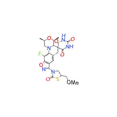 COCC1CN(c2noc3c(F)c4c(cc23)CC2(C(=O)NC(=O)NC2=O)C2[C@H](C)O[C@H](C)CN42)C(=O)S1